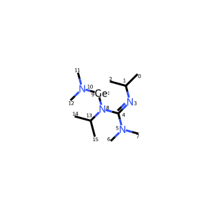 CC(C)N=C(N(C)C)[N]([Ge][N](C)C)C(C)C